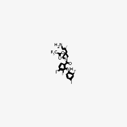 C[C@@H](CN)CC1(OC(=O)C(F)(F)F)CN(C(=O)c2ccc(F)c(F)c2Nc2ccc(I)cc2F)C1